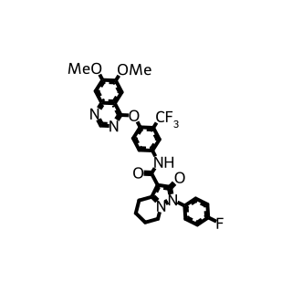 COc1cc2ncnc(Oc3ccc(NC(=O)c4c5n(n(-c6ccc(F)cc6)c4=O)CCCC5)cc3C(F)(F)F)c2cc1OC